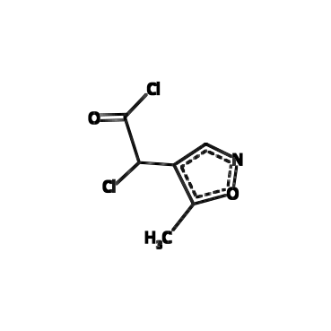 Cc1oncc1C(Cl)C(=O)Cl